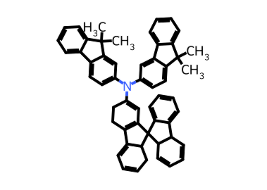 CC1(C)c2ccccc2-c2cc(N(C3=CC4=C(CC3)C3=CC=CCC3C43c4ccccc4C4C=CC=CC43)c3ccc4c(c3)C(C)(C)c3ccccc3-4)ccc21